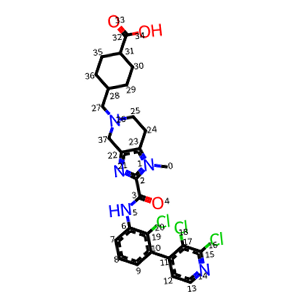 Cn1c(C(=O)Nc2cccc(-c3ccnc(Cl)c3Cl)c2Cl)nc2c1CCN(CC1CCC(C(=O)O)CC1)C2